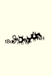 CC(C)(C)OC(=O)N1CCC(n2cc(-c3cnc4cc[nH]c4c3)cn2)CC1